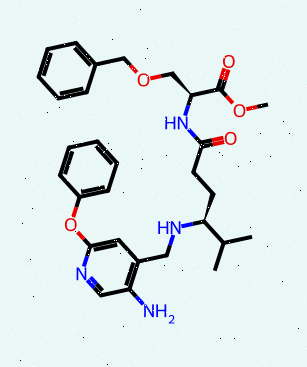 COC(=O)[C@H](COCc1ccccc1)NC(=O)CC[C@H](NCc1cc(Oc2ccccc2)ncc1N)C(C)C